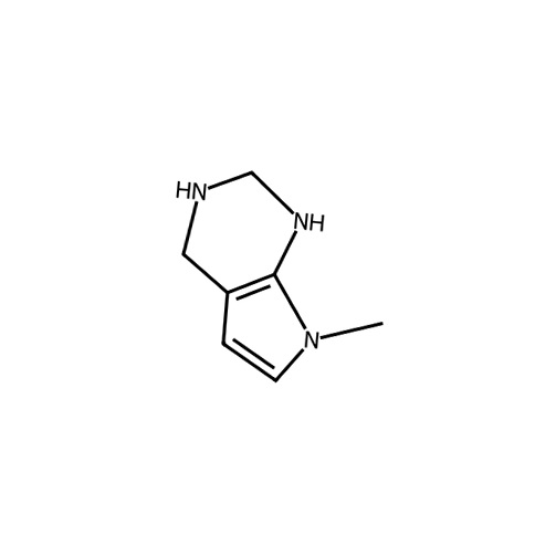 Cn1ccc2c1NCNC2